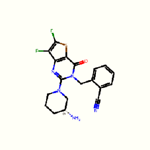 N#Cc1ccccc1Cn1c(N2CCC[C@@H](N)C2)nc2c(F)c(F)sc2c1=O